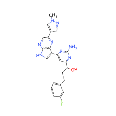 Cn1cc(-c2cnc3[nH]cc(-c4cc(C(O)CCc5cccc(F)c5)nc(N)n4)c3n2)cn1